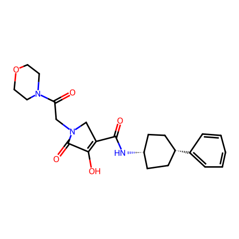 O=C(N[C@H]1CC[C@@H](c2ccccc2)CC1)C1=C(O)C(=O)N(CC(=O)N2CCOCC2)C1